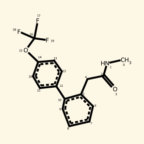 CNC(=O)Cc1ccccc1-c1ccc(OC(F)(F)F)cc1